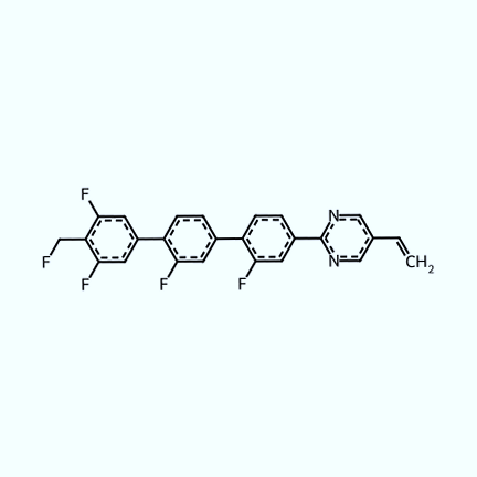 C=Cc1cnc(-c2ccc(-c3ccc(-c4cc(F)c(CF)c(F)c4)c(F)c3)c(F)c2)nc1